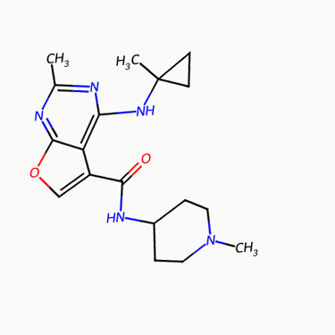 Cc1nc(NC2(C)CC2)c2c(C(=O)NC3CCN(C)CC3)coc2n1